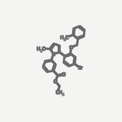 CCOC(=O)c1cccc(-n2c(C)ccc2-c2ccc(Br)cc2OCc2ccccc2C)c1